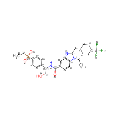 CCn1c(CC2CCC(C(F)(F)F)CC2)nc2cc(C(=O)N[C@H](CO)c3ccc(S(=O)(=O)CC)cc3)ccc21